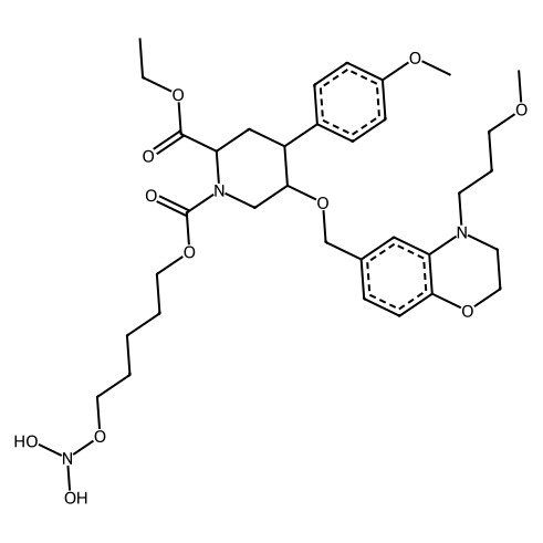 CCOC(=O)C1CC(c2ccc(OC)cc2)C(OCc2ccc3c(c2)N(CCCOC)CCO3)CN1C(=O)OCCCCCON(O)O